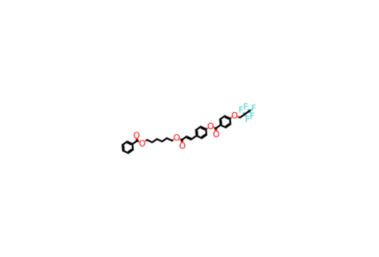 O=C(/C=C/c1ccc(OC(=O)c2ccc(OCC(F)(F)C(F)(F)F)cc2)cc1)OCCCCCCOC(=O)c1ccccc1